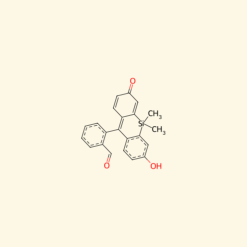 C[Si]1(C)C2=CC(=O)C=CC2=C(c2ccccc2C=O)c2ccc(O)cc21